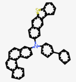 c1ccc(-c2ccc(N(c3ccc4cc5sc6ccccc6c5cc4c3)c3ccc4c(ccc5ccc6ccccc6c54)c3)cc2)cc1